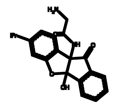 CC(C)c1ccc2c(c1)OC1(O)c3ccccc3C(=O)C21NC(=O)CN